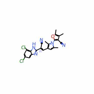 Cc1oc(-n2c(C)cc(/C=C(\C#N)c3nc4cc(Cl)cc(Cl)c4[nH]3)c2C)c(C#N)c1C